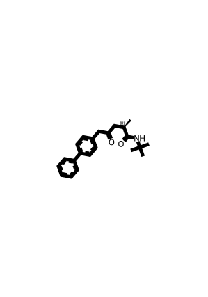 C[C@H](CC(=O)Cc1ccc(-c2ccccc2)cc1)C(=O)NC(C)(C)C